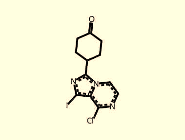 O=C1CCC(c2nc(I)c3c(Cl)nccn23)CC1